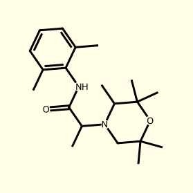 Cc1cccc(C)c1NC(=O)C(C)N1CC(C)(C)OC(C)(C)C1C